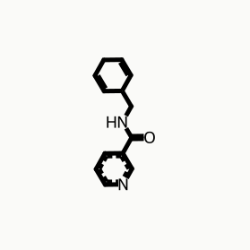 O=C(NCC1C=CCC=C1)c1cccnc1